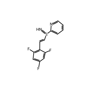 N=S(/C=C/c1c(F)cc(F)cc1F)c1ccccn1